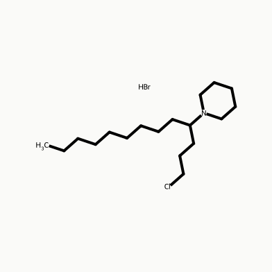 Br.CCCCCCCCCC(CCCCl)N1CCCCC1